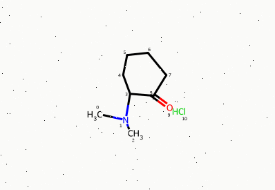 CN(C)C1CCCCC1=O.Cl